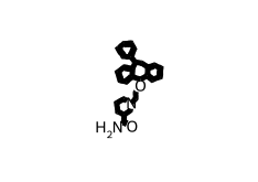 NC(=O)C1CCCN(CCOC2c3ccccc3CC(c3ccccc3)c3ccccc32)C1